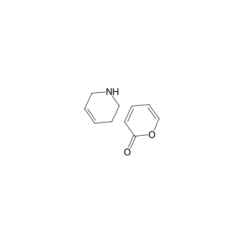 C1=CCNCC1.O=c1cccco1